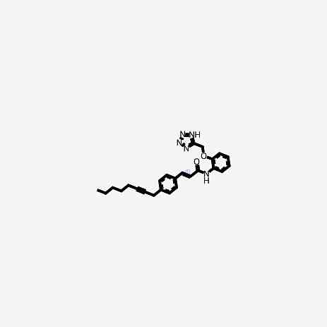 CCCCCC#CCc1ccc(/C=C/C(=O)Nc2ccccc2OCc2nnn[nH]2)cc1